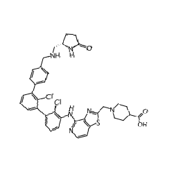 O=C1CC[C@@H](CNCc2ccc(-c3cccc(-c4cccc(Nc5nccc6sc(CN7CCC(C(=O)O)CC7)nc56)c4Cl)c3Cl)cc2)N1